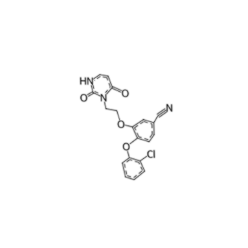 N#Cc1ccc(Oc2ccccc2Cl)c(OCCn2c(=O)cc[nH]c2=O)c1